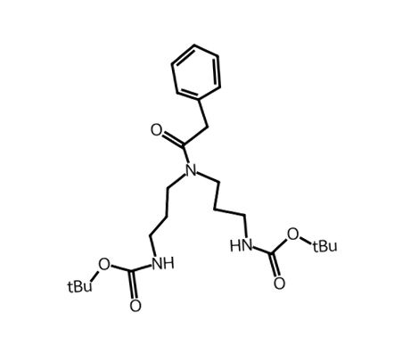 CC(C)(C)OC(=O)NCCCN(CCCNC(=O)OC(C)(C)C)C(=O)Cc1ccccc1